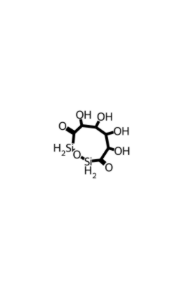 O=C1[SiH2]O[SiH2]C(=O)C(O)C(O)C(O)C1O